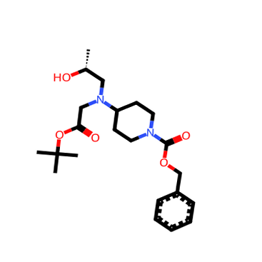 C[C@@H](O)CN(CC(=O)OC(C)(C)C)C1CCN(C(=O)OCc2ccccc2)CC1